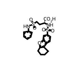 O=C(O)[C@@H](CCS(=O)(=O)Nc1ccccc1)NS(=O)(=O)c1ccc2c3c(oc2c1)CCCC3